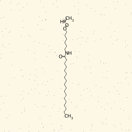 CCCCCCCCCCCCCCCCCC(=O)NCCCCCCOOPC